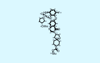 CO[C@@H]1CCN(S(=O)(=O)Nc2ccc(F)c(Oc3ccc4ncn([C@H]5COC6(CCN(C(=O)OC(C)(C)C)CC6)C5)c(=O)c4c3)c2C#N)C1